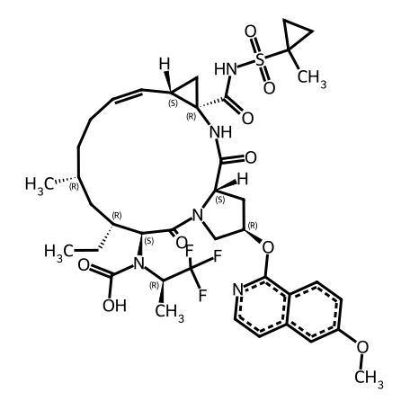 CC[C@@H]1C[C@H](C)CCC=C[C@@H]2C[C@@]2(C(=O)NS(=O)(=O)C2(C)CC2)NC(=O)[C@@H]2C[C@@H](Oc3nccc4cc(OC)ccc34)CN2C(=O)[C@H]1N(C(=O)O)[C@H](C)C(F)(F)F